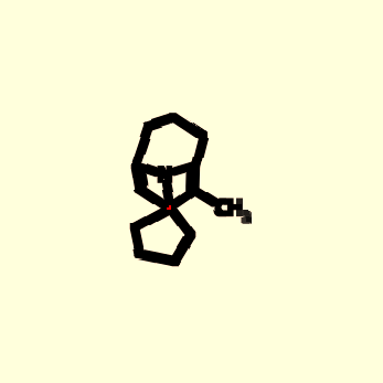 CC1=C2CCCC(=CC1)N2C1CCCC1